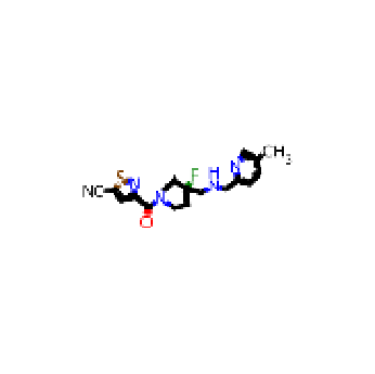 Cc1ccc(CNCC2(F)CCN(C(=O)c3cc(C#N)sn3)CC2)nc1